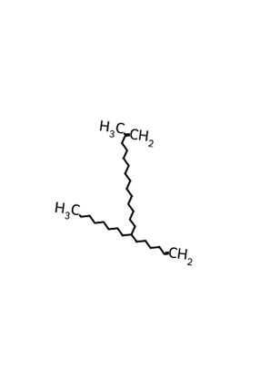 C=CCCCCC(CCCCCCCC)CCCCCCCCCCCCC(=C)C